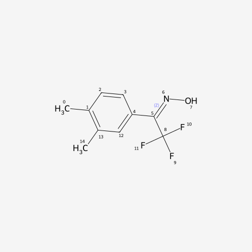 Cc1ccc(/C(=N/O)C(F)(F)F)cc1C